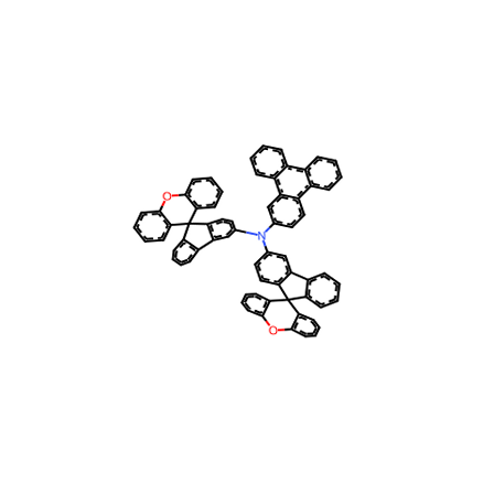 c1ccc2c(c1)Oc1ccccc1C21c2ccccc2-c2cc(N(c3ccc4c(c3)-c3ccccc3C43c4ccccc4Oc4ccccc43)c3ccc4c5ccccc5c5ccccc5c4c3)ccc21